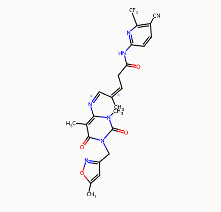 CC(/C=N\c1c(C)c(=O)n(Cc2cc(C)on2)c(=O)n1C)=C/CC(=O)Nc1ccc(C#N)c(C(F)(F)F)n1